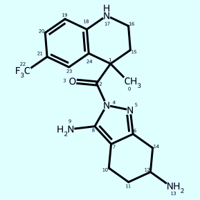 CC1(C(=O)n2nc3c(c2N)CCC(N)C3)CCNc2ccc(C(F)(F)F)cc21